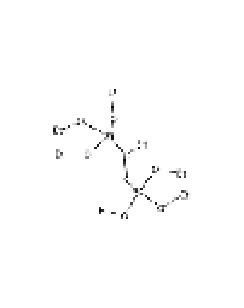 [2H]C(=C[Si](OCC)(OCC)OCC)[Si](OCC)(OCC)OCC